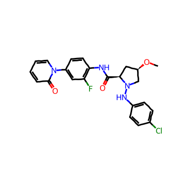 CO[C@@H]1C[C@H](C(=O)Nc2ccc(-n3ccccc3=O)cc2F)N(Nc2ccc(Cl)cc2)C1